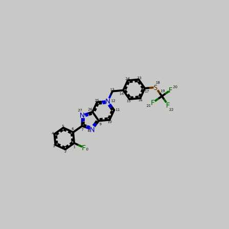 Fc1ccccc1-c1nc2ccn(Cc3ccc(SC(F)(F)F)cc3)cc-2n1